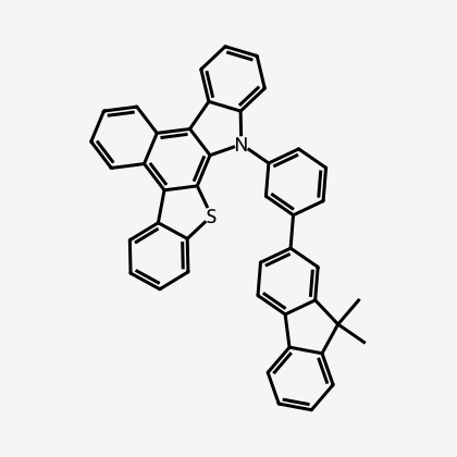 CC1(C)c2ccccc2-c2ccc(-c3cccc(-n4c5ccccc5c5c6ccccc6c6c7ccccc7sc6c54)c3)cc21